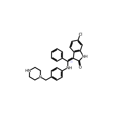 O=C1Nc2cc(Cl)ccc2/C1=C(/Nc1ccc(CN2CCNCC2)cc1)c1ccccc1